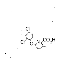 Cc1ccc(Oc2ccc(Cl)cc2Cl)nc1C(=O)O